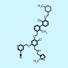 Cc1c(COc2cc(OCc3cncc(C#N)c3)c(CNCc3ccnn3C)cc2Cl)cccc1-c1cccc(OCC2CCCN(C)C2)c1Cl